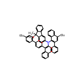 CC(C)(C)c1ccc(-c2ccc(-c3c(N(c4ccc5c(c4)-c4ccccc4C5(C)C)c4c(-c5ccccc5)cc(C(C)(C)C)c5ccccc45)ccc4ccccc34)cc2)cc1